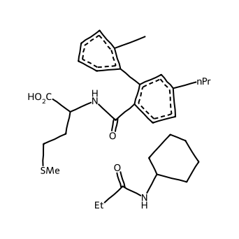 CCC(=O)NC1CCCCC1.CCCc1ccc(C(=O)NC(CCSC)C(=O)O)c(-c2ccccc2C)c1